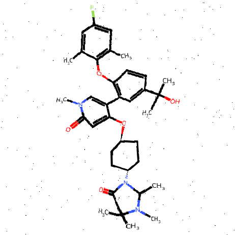 Cc1cc(F)cc(C)c1Oc1ccc(C(C)(C)O)cc1-c1cn(C)c(=O)cc1O[C@H]1CC[C@H](N2C(=O)C(C)(C)N(C)C2C)CC1